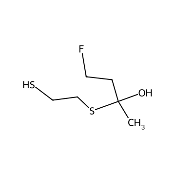 CC(O)(CCF)SCCS